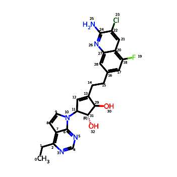 CCc1ncnc2c1ccn2C1C=C(CCc2cc(F)c3cc(Cl)c(N)nc3c2)C(O)[C@@H]1O